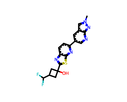 Cn1cc2cc(-c3ccc4nc(C5(O)CC(C(F)F)C5)sc4n3)cnc2n1